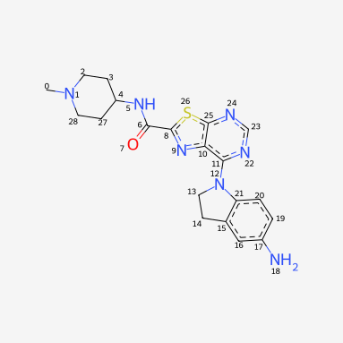 CN1CCC(NC(=O)c2nc3c(N4CCc5cc(N)ccc54)ncnc3s2)CC1